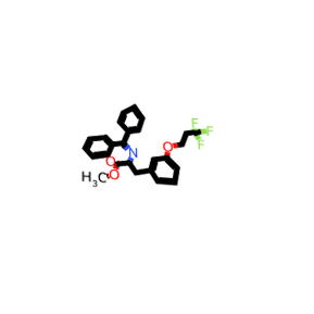 COC(=O)C(Cc1cccc(OCCC(F)(F)F)c1)N=C(c1ccccc1)c1ccccc1